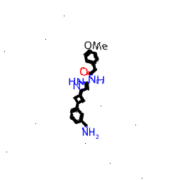 COc1ccc(CC(=O)Nc2cc(C3CC(c4cccc(CN)c4)C3)n[nH]2)cc1